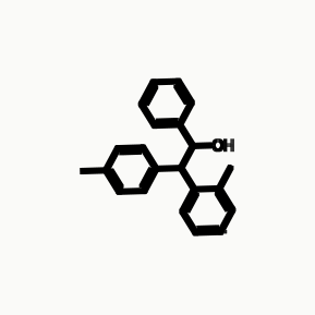 Cc1ccc(C(c2cc[c]cc2C)C(O)c2ccccc2)cc1